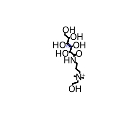 C[N+](C)(CCO)CCCNC(=O)C(O)/C(O)=C(\O)C(O)CO